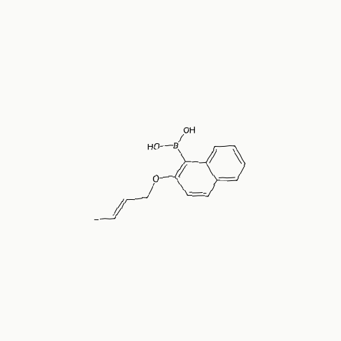 C/C=C/COc1ccc2ccccc2c1B(O)O